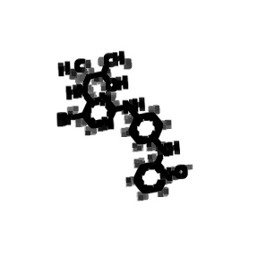 C[C@@H](O)[C@@H](C)Nc1nc(Nc2ccc(Nc3cccc[n+]3[O-])cc2)ncc1Br